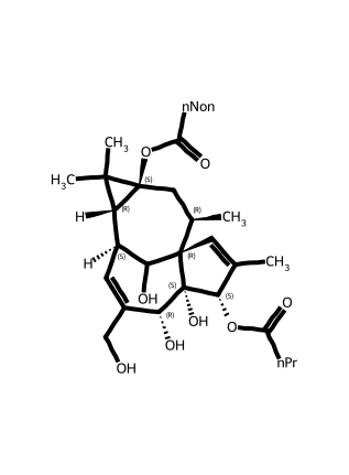 CCCCCCCCCC(=O)O[C@@]12C[C@@H](C)[C@]34C=C(C)[C@H](OC(=O)CCC)[C@@]3(O)[C@H](O)C(CO)=C[C@H](C4O)[C@@H]1C2(C)C